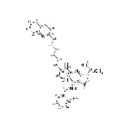 CC(C)c1cnn2c(NCc3ccccc3F)cc(N[C@@H](CO)CCCCCCc3ccc4ccccc4n3)nc12